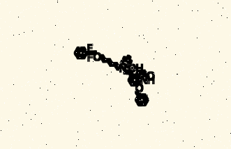 CC(C)(C)[Si](C)(C)N(CCCCCCOCC(F)(F)c1ccccc1)C[C@H](O)c1ccc(OCc2ccccc2)c2[nH]c(=O)ccc12